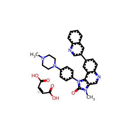 CN1CCN(c2ccc(-n3c(=O)n(C)c4cnc5ccc(-c6cnc7ccccc7c6)cc5c43)cc2)CC1.O=C(O)/C=C\C(=O)O